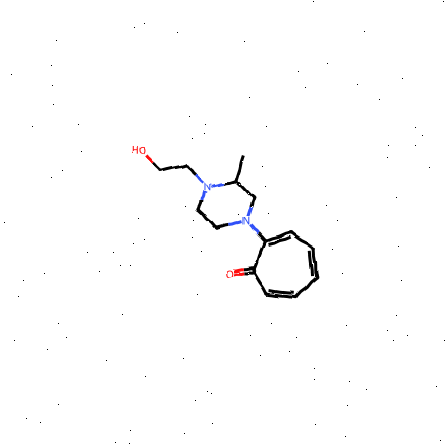 CC1CN(c2cccccc2=O)CCN1CCO